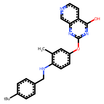 Cc1cc(Oc2nc(O)c3ccncc3n2)ccc1NCc1ccc(C(C)(C)C)cc1